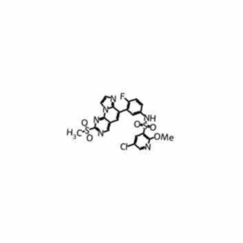 COc1ncc(Cl)cc1S(=O)(=O)Nc1ccc(F)c(-c2cc3cnc(S(C)(=O)=O)nc3n3ccnc23)c1